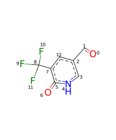 O=Cc1c[nH]c(=O)c(C(F)(F)F)c1